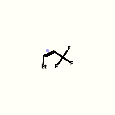 [CH2]C/C=C\C(F)(F)F